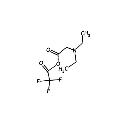 CCN(CC)CC(=O)OC(=O)C(F)(F)F